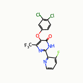 O=c1[nH]c(-c2ncccc2F)nc(C(F)(F)F)c1Oc1ccc(Cl)c(Cl)c1